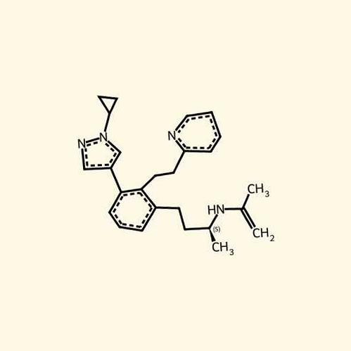 C=C(C)N[C@@H](C)CCc1cccc(-c2cnn(C3CC3)c2)c1CCc1ccccn1